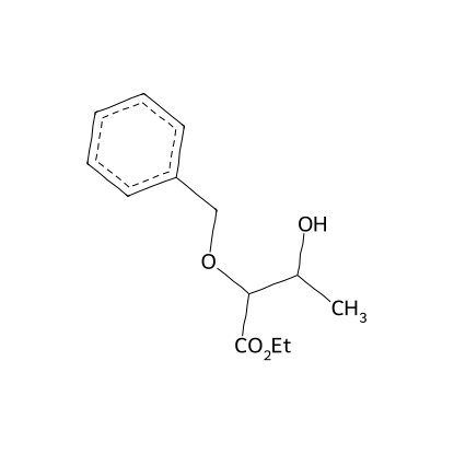 CCOC(=O)C(OCc1ccccc1)C(C)O